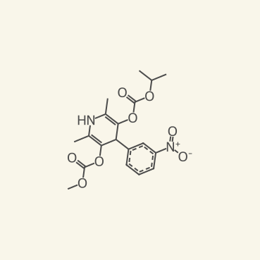 COC(=O)OC1=C(C)NC(C)=C(OC(=O)OC(C)C)C1c1cccc([N+](=O)[O-])c1